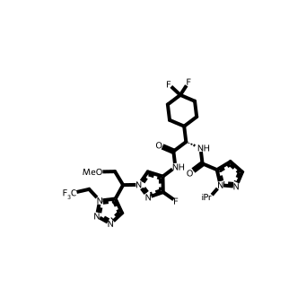 COCC(c1cnnn1CC(F)(F)F)n1cc(NC(=O)[C@@H](NC(=O)c2ccnn2C(C)C)C2CCC(F)(F)CC2)c(F)n1